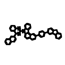 c1ccc2c(c1)Cc1ccc(-c3ccc(-c4ccc5ccc6c(c5c4)c4ccccc4n6-c4nc(-c5ccc6ccccc6c5)c5ccccc5n4)cc3)cc1-2